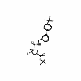 CC(C)(C)OC(=O)N1C[C@@H]2C[C@@]2(C(=O)NCc2cccc(-c3ccc(C(F)(F)F)cc3)c2)C1